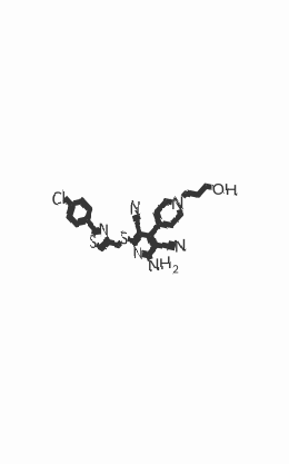 N#Cc1c(N)nc(SCc2csc(-c3ccc(Cl)cc3)n2)c(C#N)c1C1CCN(CCCO)CC1